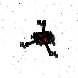 CCCCCCCCCCCCCCCCC(CC(C)(OP(=O)(OC(C)(CC(CCCCCCCCCCCCCCCC)OC(C)=O)[N+](CCCC)(CCCC)CCCC)OC(C)(CC(CCCCCCCCCCCCCCCC)OC(C)=O)[N+](CCCC)(CCCC)CCCC)[N+](CCCC)(CCCC)CCCC)OC(C)=O